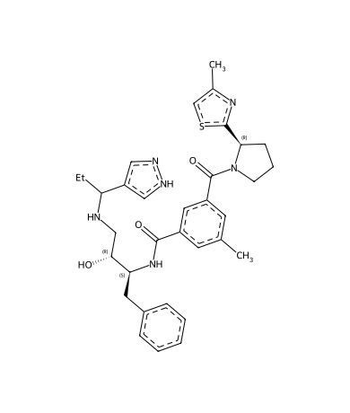 CCC(NC[C@@H](O)[C@H](Cc1ccccc1)NC(=O)c1cc(C)cc(C(=O)N2CCC[C@@H]2c2nc(C)cs2)c1)c1cn[nH]c1